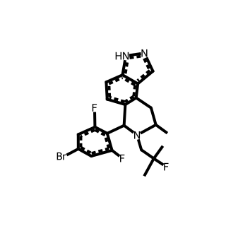 CC1Cc2c(ccc3[nH]ncc23)C(c2c(F)cc(Br)cc2F)N1CC(C)(C)F